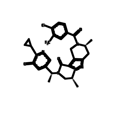 C[C@@H]1Cc2nn3c(c2CN1C(=O)c1ccc(Cl)c(C(F)(F)F)c1)C(=O)N([C@H](C)c1cnn(C2CC2)c(=O)c1)C[C@H]3C